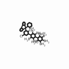 Bc1c(B)c(B)c(-c2c(B)c(B)c(-c3cc(Cl)cc4c3Oc3ccccc3C43c4ccccc4-c4ccccc43)c(B)c2B)c(B)c1B